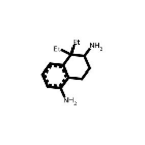 CCC1(CC)c2cccc(N)c2CCC1N